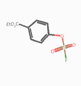 CCOC(=O)c1ccc(OS(=O)(=O)F)cc1